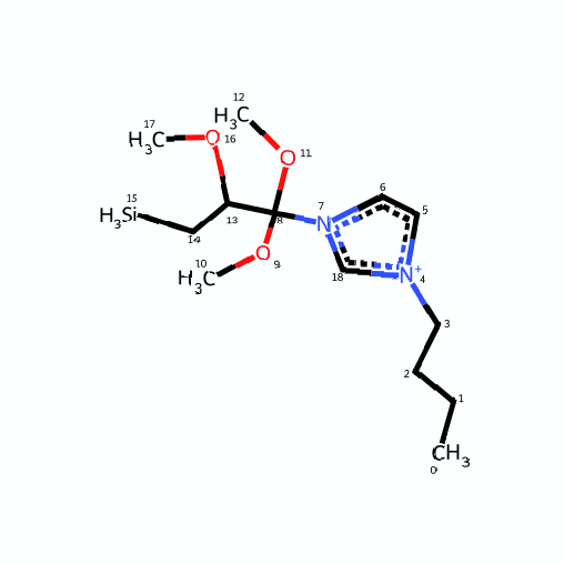 CCCC[n+]1ccn(C(OC)(OC)C(C[SiH3])OC)c1